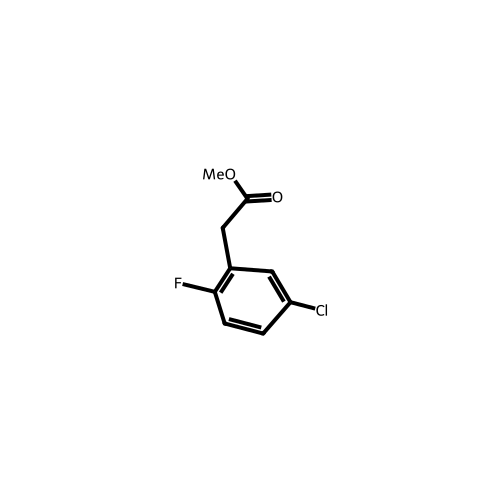 COC(=O)Cc1cc(Cl)ccc1F